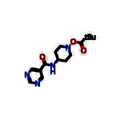 CC(C)(C)C(=O)ON1CCC(NC(=O)c2cncnc2)CC1